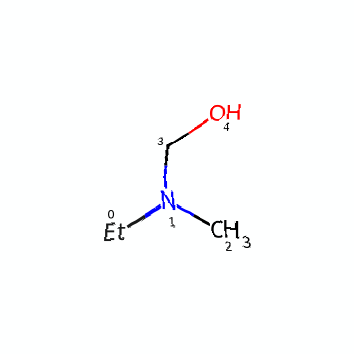 [CH2]CN(C)CO